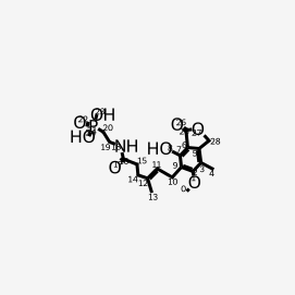 COc1c(C)c2c(c(O)c1C/C=C(\C)CCC(=O)NCCP(=O)(O)O)C(=O)OC2